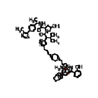 Cc1ncsc1-c1ccc([C@H](C)NC(=O)C2C[C@@H](O)CN2C(=O)C(c2cc(CCCN3CCN(CCOc4cc(N5C6CCC5CN(c5cc(-c7ccccc7O)nnc5N)C6)ccn4)CC3)no2)C(C)C)cc1